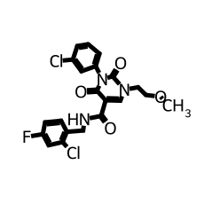 COCCn1cc(C(=O)NCc2ccc(F)cc2Cl)c(=O)n(-c2cccc(Cl)c2)c1=O